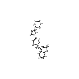 Clc1nc(Nc2ccc(-c3cnn(C4CCCCO4)c3)cc2)c2ccncc2n1